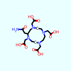 NC(=O)CC1CN(CC(=O)O)CCN(CC(=O)O)CCN(CC(=O)O)CCN1CC(=O)O